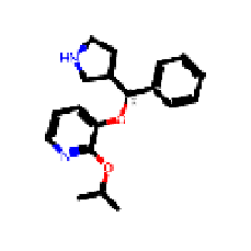 CC(C)Oc1ncccc1O[C@H](c1ccccc1)C1CCNC1